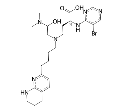 CN(C)C(O)CN(CCCCc1ccc2c(n1)NCCC2)CC[C@H](Nc1ncncc1Br)C(=O)O